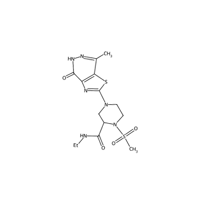 CCNC(=O)C1CN(c2nc3c(=O)[nH]nc(C)c3s2)CCN1S(C)(=O)=O